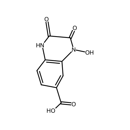 O=C(O)c1ccc2[nH]c(=O)c(=O)n(O)c2c1